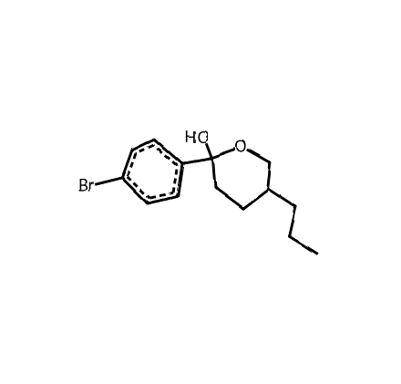 CCCC1CCC(O)(c2ccc(Br)cc2)OC1